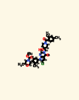 Cc1ccc(C(=O)N2CCC(O)(Cn3cnc4c(cc(Cl)n4-c4ccc([C@H]5CO[C@H](C)CN5C(=O)OC(C)(C)C)c(C)c4)c3=O)CC2)c(C)c1